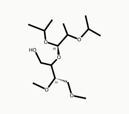 COC[C@H](OC)C(CO)O[C@@H](OC(C)C)C(C)OC(C)C